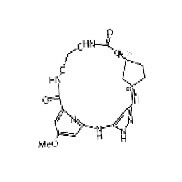 COc1cc2nc(c1)C(=O)NCCCNC(=O)O[C@@H]1CC[C@@H](C1)c1cc([nH]n1)N2